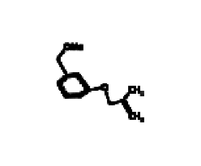 C=C(C)COc1cccc(COC)c1